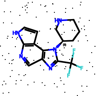 FC(F)(F)c1nc2cnc3[nH]ccc3c2n1[C@@H]1CCCNC1